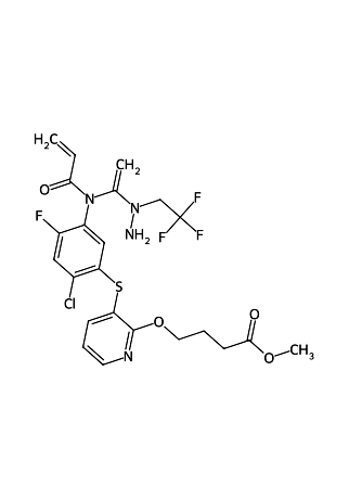 C=CC(=O)N(C(=C)N(N)CC(F)(F)F)c1cc(Sc2cccnc2OCCCC(=O)OC)c(Cl)cc1F